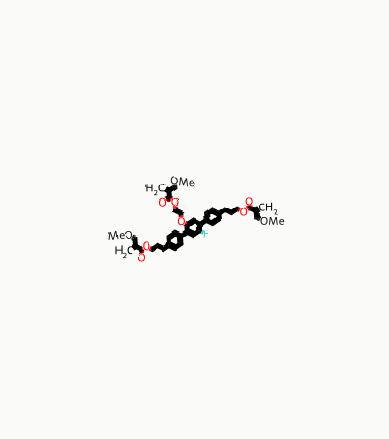 C=C(COC)C(=O)OCCCc1ccc(-c2cc(OCCOC(=O)C(=C)COC)c(-c3ccc(CCCOC(=O)C(=C)COC)cc3)cc2F)cc1